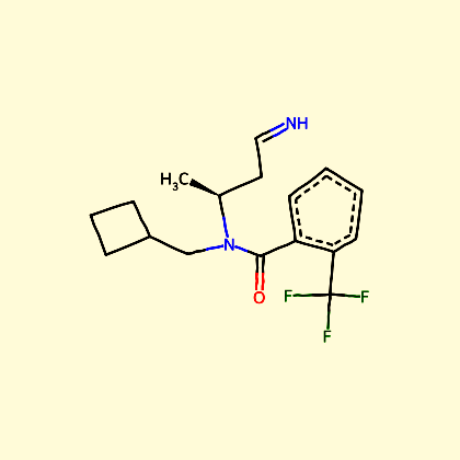 C[C@@H](CC=N)N(CC1CCC1)C(=O)c1ccccc1C(F)(F)F